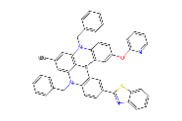 CC(C)(C)c1cc2c3c(c1)N(Cc1ccccc1)c1ccc(-c4nc5ccccc5s4)cc1B3c1cc(Oc3ccccn3)ccc1N2Cc1ccccc1